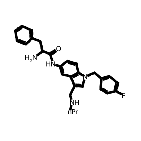 CCCNCc1cn(Cc2ccc(F)cc2)c2ccc(NC(=O)C(N)Cc3ccccc3)cc12